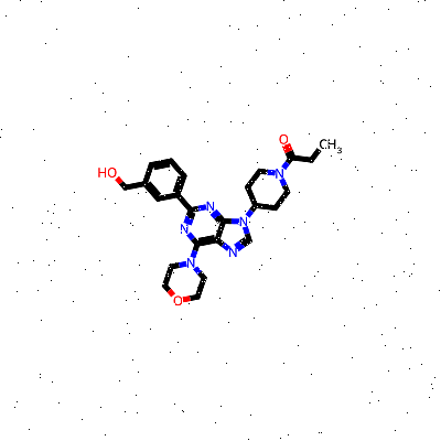 CCC(=O)N1CCC(n2cnc3c(N4CCOCC4)nc(-c4cccc(CO)c4)nc32)CC1